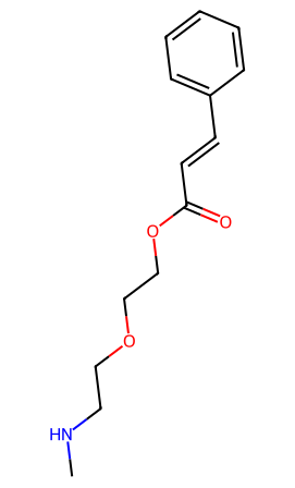 CNCCOCCOC(=O)/C=C/c1ccccc1